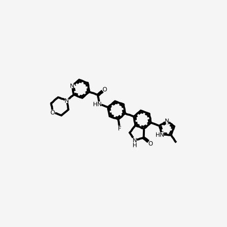 Cc1cnc(-c2ccc(-c3ccc(NC(=O)c4ccnc(N5CCOCC5)c4)cc3F)c3c2C(=O)NC3)[nH]1